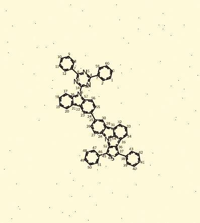 c1ccc(-c2nc(-c3ccccc3)nc(-n3c4ccccc4c4cc(-c5ccc6c(c5)c5cccc7c8c(-c9ccccc9)sc(-c9ccccc9)c8n6c57)ccc43)n2)cc1